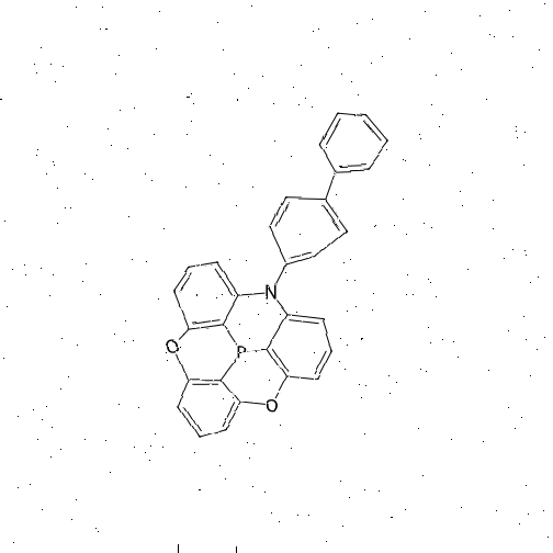 c1ccc(-c2ccc(N3c4cccc5c4P4c6c(cccc6Oc6cccc3c64)O5)cc2)cc1